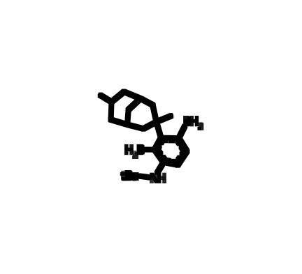 Bc1ccc(NC(C)(C)C)c(B)c1C1(C)CC2CC(C)CC(C2)C1